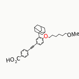 COCCCCCCOc1ccc(C#Cc2ccc(C(=O)O)cc2)cc1C12CC3CC(CC(C3)C1)C2